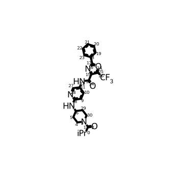 CC(C)C(=O)N1CCC(Nc2ccc(NC(=O)c3nc(-c4ccccc4)oc3C(F)(F)F)cn2)CC1